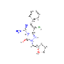 Nc1nc(-c2ccccc2)c(Br)c2nn(C[C@H]3CCCO3)c(=O)n12